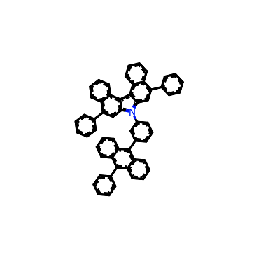 c1ccc(-c2c3ccccc3c(-c3cccc(-n4c5cc(-c6ccccc6)c6ccccc6c5c5c6ccccc6c(-c6ccccc6)cc54)c3)c3ccccc23)cc1